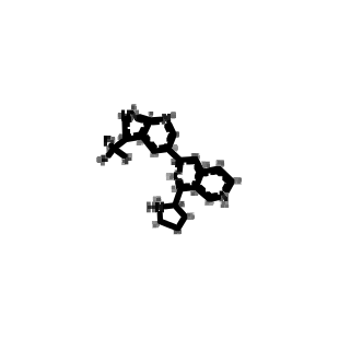 FC(F)(F)c1c[nH]c2ncc(-c3cc(C4CCCN4)c4cnccc4c3)cc12